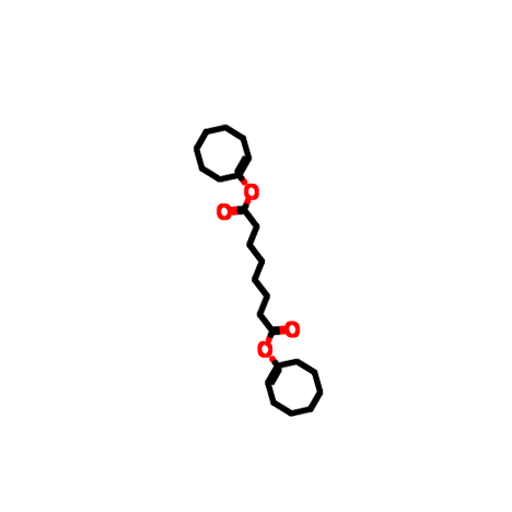 O=C(CCCCCCC(=O)OC1=CCCCCCC1)OC1=CCCCCCC1